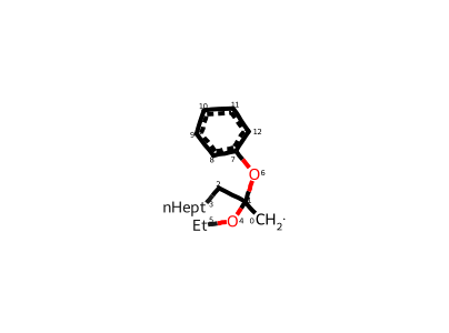 [CH2]C(CCCCCCCC)(OCC)Oc1ccccc1